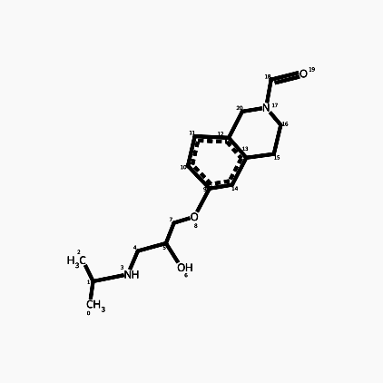 CC(C)NCC(O)COc1ccc2c(c1)CCN(C=O)C2